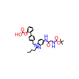 CCCCc1nc2cc(NC(=O)CNC(=O)OC(C)(C)C)ccc2n1Cc1ccc(-c2ccccc2OC(=O)O)cc1